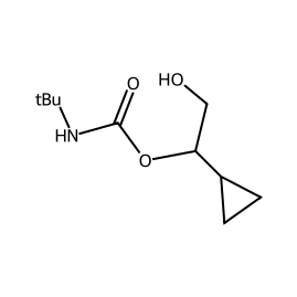 CC(C)(C)NC(=O)OC(CO)C1CC1